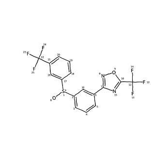 [O-][S+](c1cccc(-c2noc(C(F)(F)F)n2)c1)c1cccc(C(F)(F)F)c1